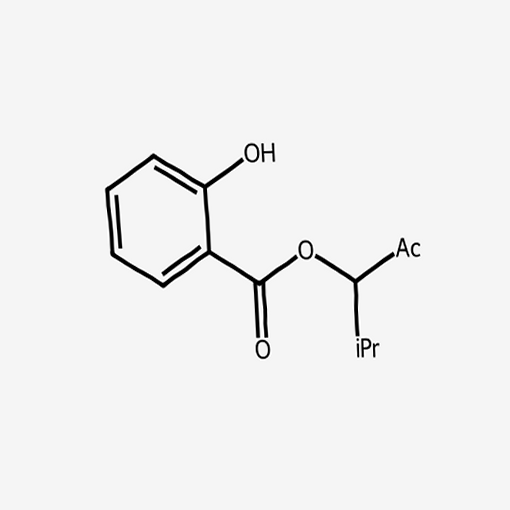 CC(=O)C(OC(=O)c1ccccc1O)C(C)C